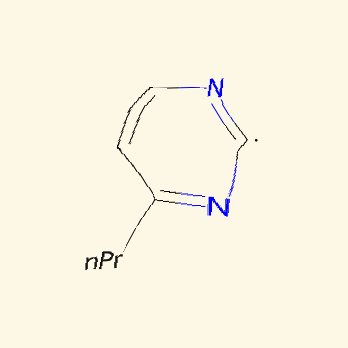 CCCc1ccn[c]n1